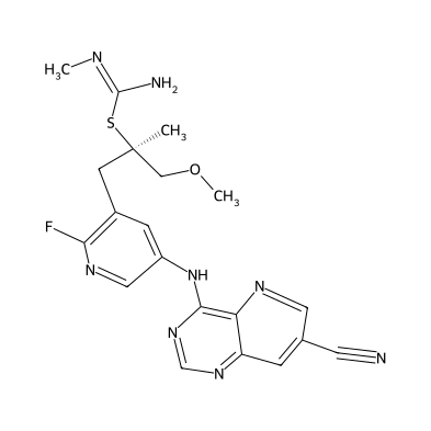 C/N=C(/N)S[C@@](C)(COC)Cc1cc(Nc2ncnc3cc(C#N)cnc23)cnc1F